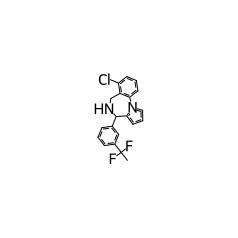 CC(F)(F)c1cccc(C2NCc3c(Cl)cccc3-n3cccc32)c1